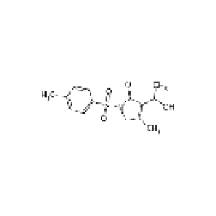 CC1=C(C(C)O)C(=O)N(S(=O)(=O)c2ccc(C)cc2)C1